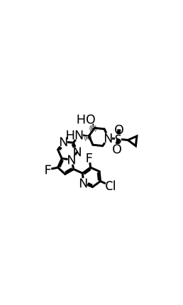 O=S(=O)(C1CC1)N1CC[C@@H](Nc2ncc3c(F)cc(-c4ncc(Cl)cc4F)n3n2)[C@H](O)C1